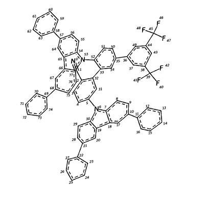 N#Cc1ccc(-n2c3ccc(-c4ccccc4)cc3c3cc(-c4ccccc4)ccc32)cc1-c1cc(-c2cc(C(F)(F)F)cc(C(F)(F)F)c2)ccc1-n1c2ccc(-c3ccccc3)cc2c2cc(-c3ccccc3)ccc21